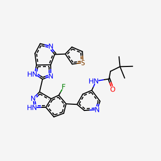 CC(C)(C)CC(=O)Nc1cncc(-c2ccc3[nH]nc(-c4nc5c(-c6ccsc6)nccc5[nH]4)c3c2F)c1